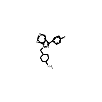 NC1CCC(Cn2nc(-c3ccc(F)cc3)c3cncnc32)CC1